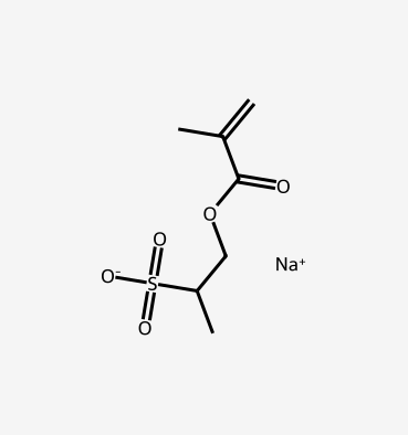 C=C(C)C(=O)OCC(C)S(=O)(=O)[O-].[Na+]